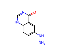 NNc1ccc2[nH]cnc(=O)c2c1